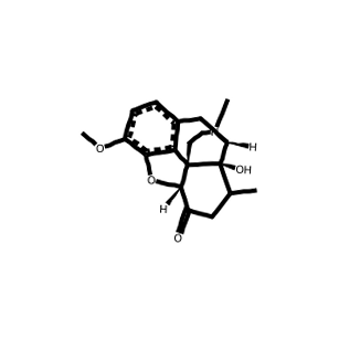 COc1ccc2c3c1O[C@H]1C(=O)CC(C)[C@@]4(O)[C@@H](C2)N(C)CC[C@]314